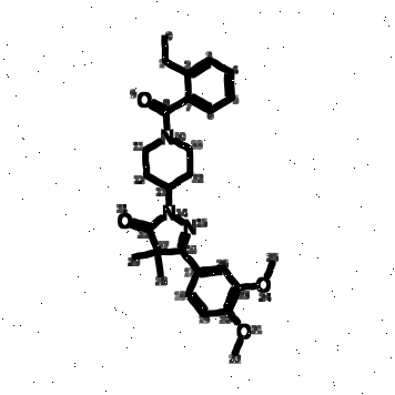 CCc1ccccc1C(=O)N1CCC(N2N=C(c3ccc(OC)c(OC)c3)C(C)(C)C2=O)CC1